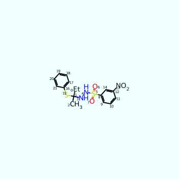 CCC(C)(NNS(=O)(=O)c1cccc([N+](=O)[O-])c1)Sc1ccccc1